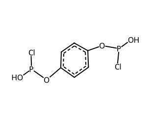 OP(Cl)Oc1ccc(OP(O)Cl)cc1